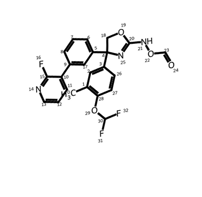 Cc1cc(C2(c3cccc(-c4cccnc4F)c3)COC(NOC=O)=N2)ccc1OC(F)F